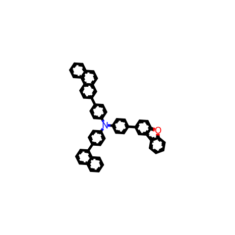 c1ccc2c(-c3ccc(N(c4ccc(-c5ccc6c(ccc7ccccc76)c5)cc4)c4ccc(-c5ccc6oc7ccccc7c6c5)cc4)cc3)cccc2c1